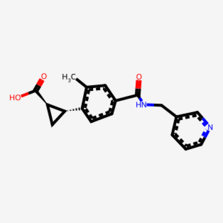 Cc1cc(C(=O)NCc2cccnc2)ccc1[C@@H]1C[C@H]1C(=O)O